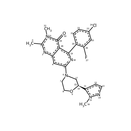 Cc1nc2cc(N3CCO[C@H](c4ccnn4C)C3)nc(-c3ccc(Cl)cc3F)c2c(=O)n1C